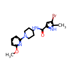 COc1cccc(N2CCC(NC(=O)c3cc(Br)c(C)[nH]3)CC2)n1